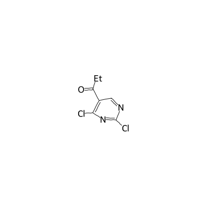 CCC(=O)c1cnc(Cl)nc1Cl